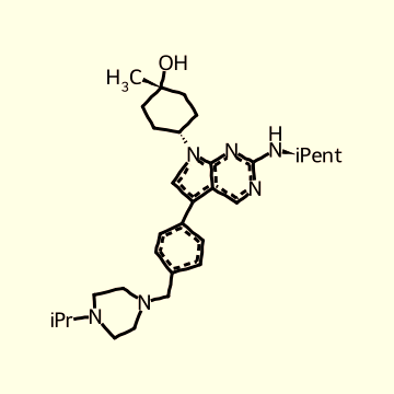 CCC[C@H](C)Nc1ncc2c(-c3ccc(CN4CCN(C(C)C)CC4)cc3)cn([C@H]3CC[C@@](C)(O)CC3)c2n1